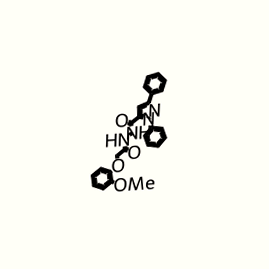 COc1ccccc1OCC(=O)NNC(=O)c1cc(-c2ccccc2)nn1-c1ccccc1